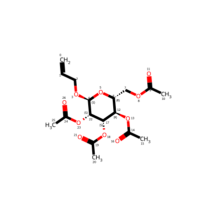 C=CCO[C@H]1O[C@H](COC(C)=O)[C@@H](OC(C)=O)[C@H](OC(C)=O)[C@@H]1OC(C)=O